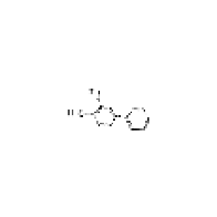 [2H]c1cc(-c2ccccc2)ccc1C